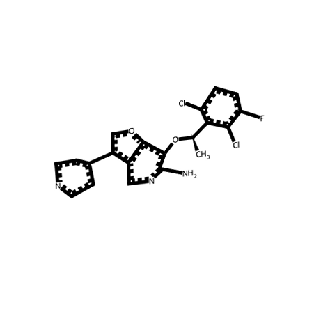 C[C@@H](Oc1c(N)ncc2c(-c3ccncc3)coc12)c1c(Cl)ccc(F)c1Cl